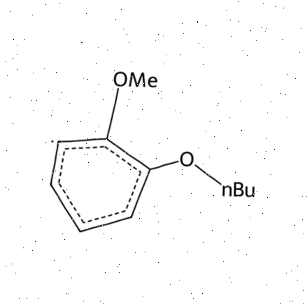 CCCCOc1ccc[c]c1OC